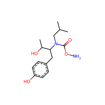 CC(C)CN(C(=O)ON)C(Cc1ccc(O)cc1)C(C)O